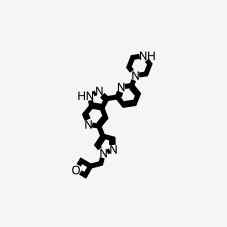 c1cc(-c2n[nH]c3cnc(-c4cnn(CC5COC5)c4)cc23)nc(N2CCNCC2)c1